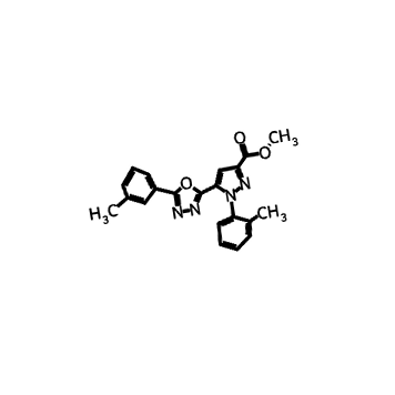 COC(=O)c1cc(-c2nnc(-c3cccc(C)c3)o2)n(-c2ccccc2C)n1